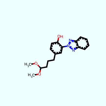 COC(CCCc1ccc(O)c(-n2nc3ccccc3n2)c1)OC